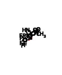 Cn1c(=O)oc2ccc(CN(Cc3cc(C(F)(F)F)cc(C(F)(F)F)c3)C(=O)C3(CC4CC4)CCNCC3)cc21